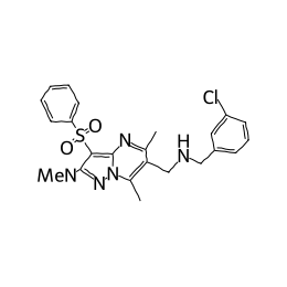 CNc1nn2c(C)c(CNCc3cccc(Cl)c3)c(C)nc2c1S(=O)(=O)c1ccccc1